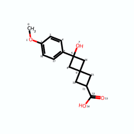 COc1ccc(C2(O)CC3(CC(C(=O)O)C3)C2)cc1